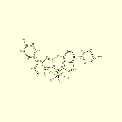 CC1=Cc2c(-c3ccc(C)cc3)cccc2[CH]1[Zr]([Cl])([Cl])([CH]1C(C)=Cc2c(-c3ccc(C)cc3)cccc21)=[Si](C)C